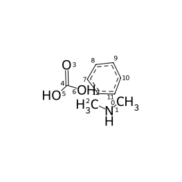 CNC.O=C(O)O.c1ccccc1